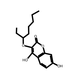 CCCCCC(CC)Oc1c(O)c2ccc(O)cc2oc1=O